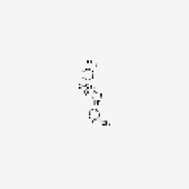 Cc1ccc(S(=O)(=O)OC2CCN(c3ccc(Cl)c(C(F)(F)F)c3)C2)cc1